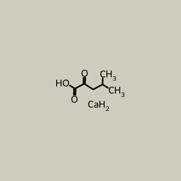 CC(C)CC(=O)C(=O)O.[CaH2]